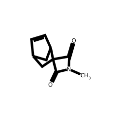 CN1C(=O)C2(CC3C=CC2C3)C1=O